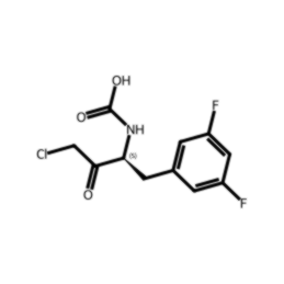 O=C(O)N[C@@H](Cc1cc(F)cc(F)c1)C(=O)CCl